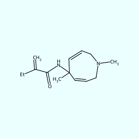 C=C(CC)C(=O)NC1(C)/C=C\CN(C)C/C=C\1